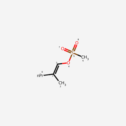 CCCC(C)=COS(C)(=O)=O